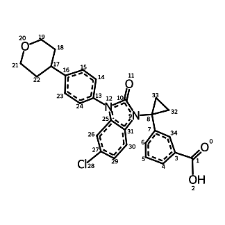 O=C(O)c1cccc(C2(n3c(=O)n(-c4ccc(C5CCOCC5)cc4)c4cc(Cl)ccc43)CC2)c1